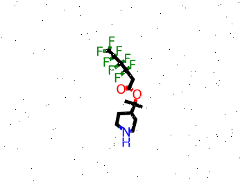 CC(C)(OC(=O)CC(F)(F)C(F)(F)C(F)(F)C(F)F)C1CCNCC1